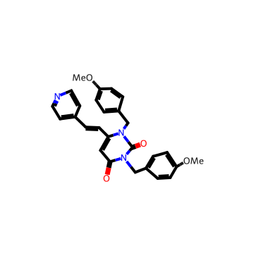 COc1ccc(Cn2c(C=Cc3ccncc3)cc(=O)n(Cc3ccc(OC)cc3)c2=O)cc1